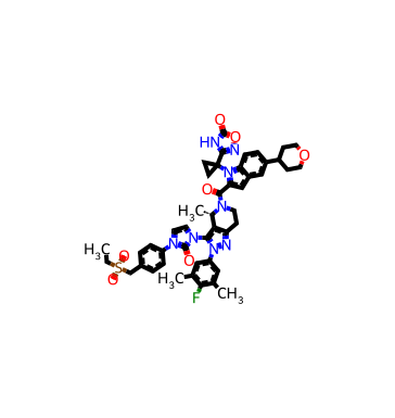 CCS(=O)(=O)Cc1ccc(-n2ccn(-c3c4c(nn3-c3cc(C)c(F)c(C)c3)CCN(C(=O)c3cc5cc(C6CCOCC6)ccc5n3C3(c5noc(=O)[nH]5)CC3)[C@H]4C)c2=O)cc1